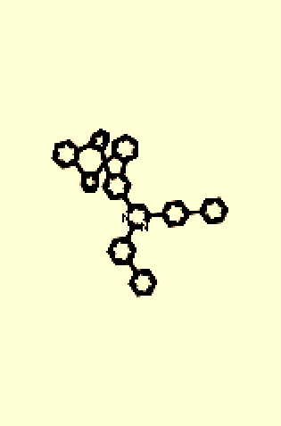 c1ccc(-c2ccc(-c3cc(-c4ccc5c(c4)-c4ccccc4C54c5ccccc5-c5ccccc5-c5ccccc54)nc(-c4cccc(-c5ccccc5)c4)n3)cc2)cc1